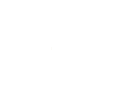 [CH2]CCCc1c(C(=O)O)cccc1C(C)(C)C